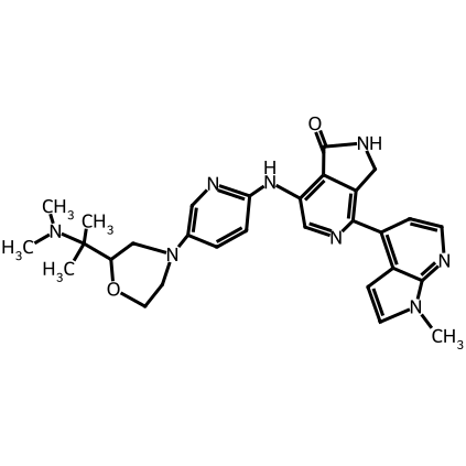 CN(C)C(C)(C)C1CN(c2ccc(Nc3cnc(-c4ccnc5c4ccn5C)c4c3C(=O)NC4)nc2)CCO1